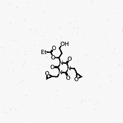 CCC(=O)OC(CCO)n1c(=O)n(CC2CO2)c(=O)n(CC2CO2)c1=O